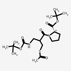 CC(=O)SCC(CNC(=O)OC(C)(C)C)C(=O)N1CCC[C@H]1C(=O)OC(C)(C)C